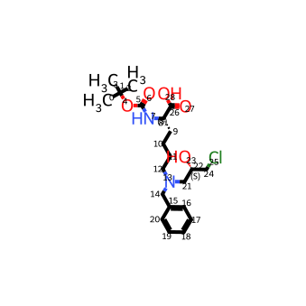 CC(C)(C)OC(=O)N[C@@H](CCCCN(Cc1ccccc1)C[C@H](O)CCl)C(=O)O